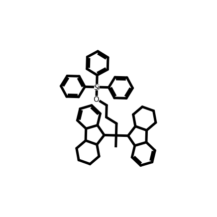 CC(CCCO[Si](c1ccccc1)(c1ccccc1)c1ccccc1)(C1C2C=CC=CC2C2CCCCC21)C1C2C=CC=CC2C2CCCCC21